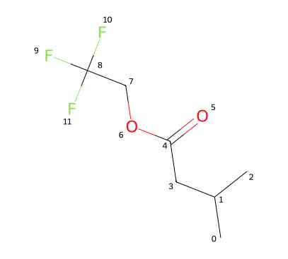 CC(C)CC(=O)OCC(F)(F)F